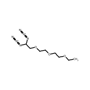 CCOCCOCCOCC(N=[N+]=[N-])N=[N+]=[N-]